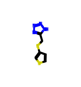 c1cc(SCc2nnn[nH]2)cs1